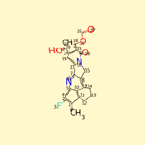 Cc1c(F)cc2nc3c(c4c2c1CCC4)Cn1c-3cc([C@@H](C)O)c(COC=O)c1=O